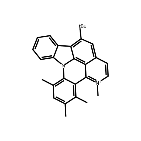 Cc1cc(C)c2c(c1C)c1c3c(cc[n+]1C)cc(C(C)(C)C)c1c4ccccc4n2c13